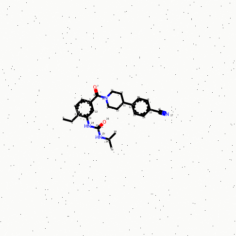 CCc1ccc(C(=O)N2CCC(c3ccc(C#N)cc3)CC2)cc1NC(=O)NC(C)C